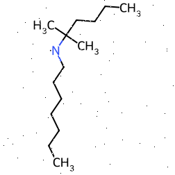 CCCCCCC[N]C(C)(C)CCCC